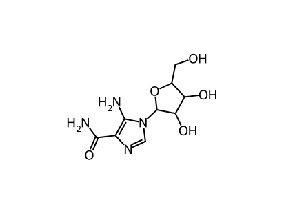 NC(=O)c1ncn(C2OC(CO)C(O)C2O)c1N